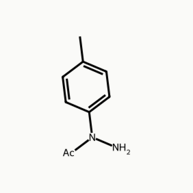 CC(=O)N(N)c1ccc(C)cc1